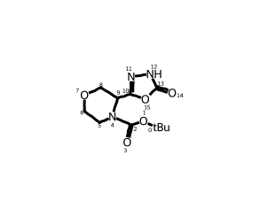 CC(C)(C)OC(=O)N1CCOCC1c1n[nH]c(=O)o1